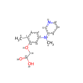 Cc1ccc(N(C)c2cccnc2)cc1OCC(=O)O